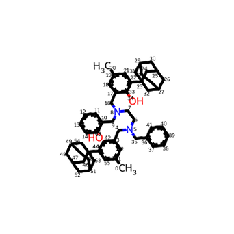 Cc1cc(CN(CCN(Cc2ccccc2)Cc2cc(C)cc(C34CC5CC(CC(C5)C3)C4)c2O)Cc2ccccc2)c(O)c(C23CC4CC(CC(C4)C2)C3)c1